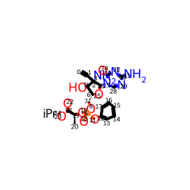 C#CC1(N)[C@@H](O)[C@@H](COP(=O)(Oc2ccccc2)O[C@@H](C)C(=O)OC(C)C)O[C@H]1n1cnc(N)nc1=O